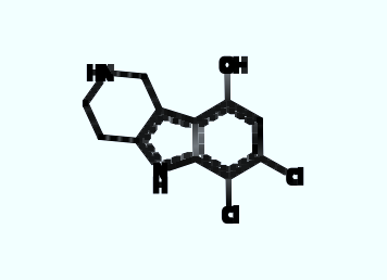 Oc1cc(Cl)c(Cl)c2[nH]c3c(c12)CNCC3